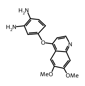 COc1cc2nccc(Oc3ccc(N)c(N)c3)c2cc1OC